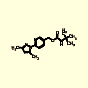 Cc1cc(C)n(-c2ccc(COC(=O)NC(C)(C)C)cn2)n1